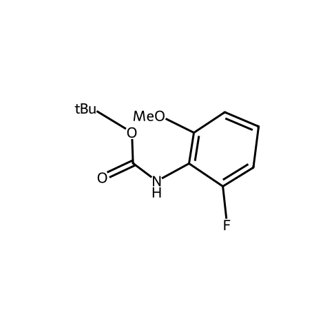 COc1cccc(F)c1NC(=O)OC(C)(C)C